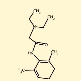 CCN(CC)CC(=O)NC1=C(C)CCC=C1C